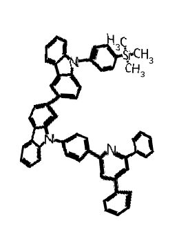 C[Si](C)(C)c1ccc(-n2c3ccccc3c3cc(-c4ccc5c6ccccc6n(-c6ccc(-c7cc(-c8ccccc8)cc(-c8ccccc8)n7)cc6)c5c4)ccc32)cc1